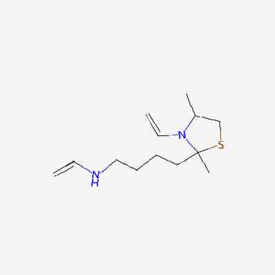 C=CNCCCCC1(C)SCC(C)N1C=C